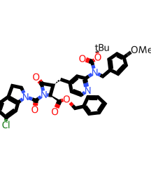 COc1ccc(CN(C(=O)OC(C)(C)C)c2cc(C[C@H]3C(=O)N(C(=O)N4CCc5ccc(Cl)cc54)[C@@H]3C(=O)OCc3ccccc3)ccn2)cc1